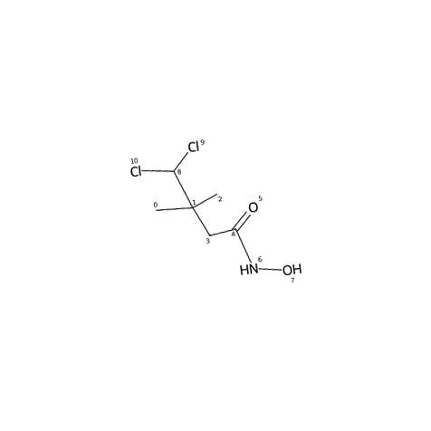 CC(C)(CC(=O)NO)C(Cl)Cl